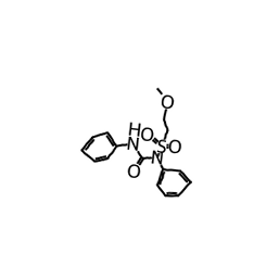 COCCS(=O)(=O)N(C(=O)Nc1ccccc1)c1ccccc1